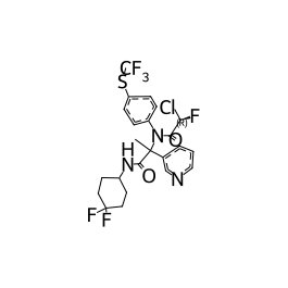 CC(C(=O)NC1CCC(F)(F)CC1)(c1cccnc1)N(C(=O)[C@H](F)Cl)c1ccc(SC(F)(F)F)cc1